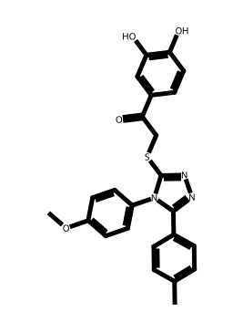 COc1ccc(-n2c(SCC(=O)c3ccc(O)c(O)c3)nnc2-c2ccc(C)cc2)cc1